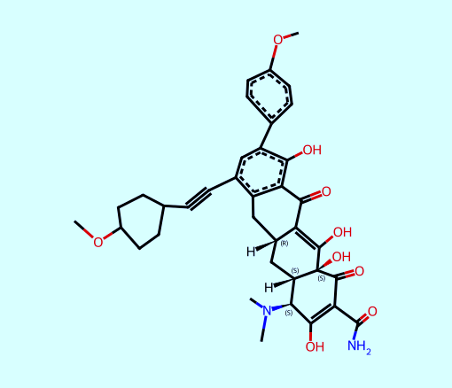 COc1ccc(-c2cc(C#CC3CCC(OC)CC3)c3c(c2O)C(=O)C2=C(O)[C@]4(O)C(=O)C(C(N)=O)=C(O)[C@@H](N(C)C)[C@@H]4C[C@@H]2C3)cc1